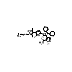 CCn1ncc([C@@H](C(=O)Nc2ccc(C3=C(C)N(COCC[Si](C)(C)C)NC3C)c(C(F)(F)F)n2)C(C2CCCCC2)C2CCCCC2)c1C(N)=O